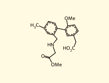 COC(=O)CNCc1cc(C)ccc1-c1cc(CC(=O)O)ccc1OC